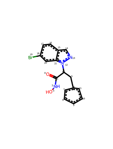 O=C(NO)C(Cc1ccccc1)n1ncc2ccc(Br)cc21